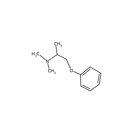 CC(COc1ccccc1)N(C)C